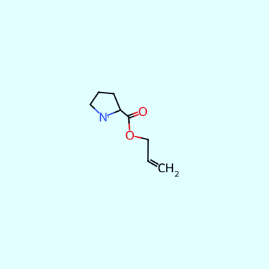 C=CCOC(=O)C1CCC[N]1